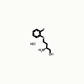 Cl.N[C@H](CO)CCSc1ccccc1F